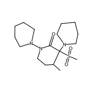 CC1CCN(N2CCCCC2)C(=O)C1(N1CCCCC1)S(C)(=O)=O